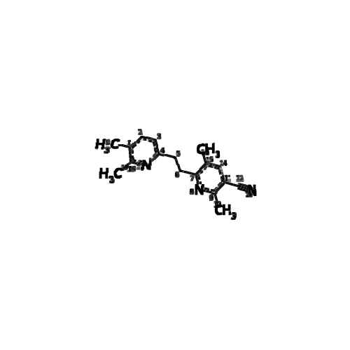 Cc1ccc(CCc2nc(C)c(C#N)cc2C)nc1C